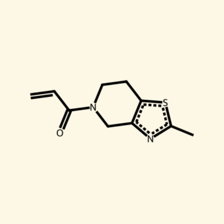 C=CC(=O)N1CCc2sc(C)nc2C1